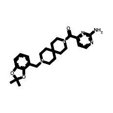 CC1(C)Oc2cccc(CN3CCC4(CC3)CCN(C(=O)c3ccnc(N)n3)CC4)c2O1